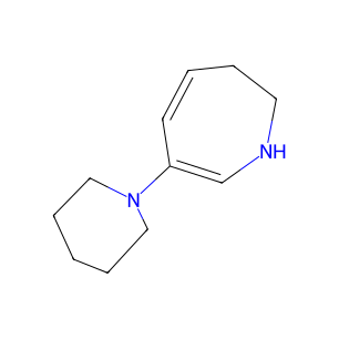 C1=CC(N2CCCCC2)=CNCC1